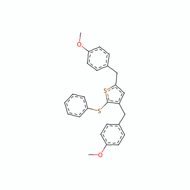 COc1ccc(Cc2cc(Cc3ccc(OC)cc3)c(Sc3ccccc3)s2)cc1